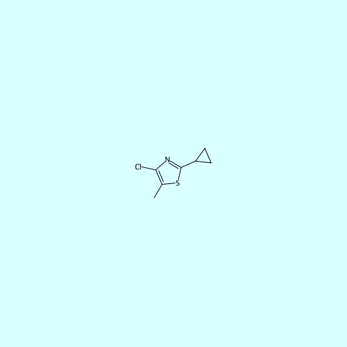 Cc1sc(C2CC2)nc1Cl